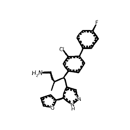 CC(CN)C(c1ccc(-c2ccc(F)cc2)c(Cl)c1)c1cn[nH]c1-c1ccco1